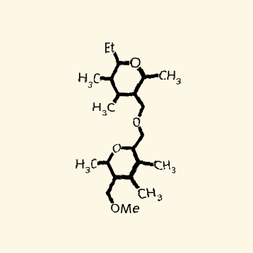 CCC1OC(C)C(COCC2OC(C)C(COC)C(C)C2C)C(C)C1C